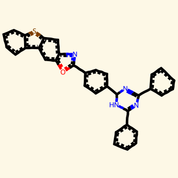 c1ccc(C2=NC(c3ccc(-c4nc5cc6sc7ccccc7c6cc5o4)cc3)NC(c3ccccc3)=N2)cc1